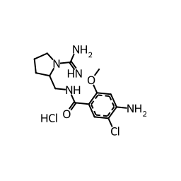 COc1cc(N)c(Cl)cc1C(=O)NCC1CCCN1C(=N)N.Cl